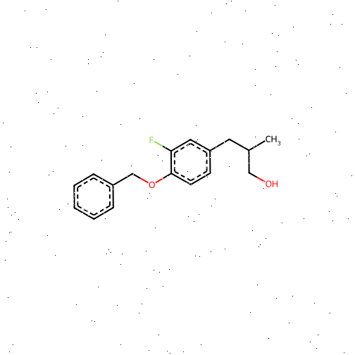 CC(CO)Cc1ccc(OCc2ccccc2)c(F)c1